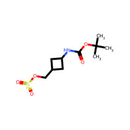 CC(C)(C)OC(=O)NC1CC(CO[SH](=O)=O)C1